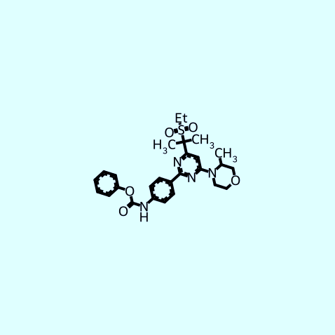 CCS(=O)(=O)C(C)(C)c1cc(N2CCOCC2C)nc(-c2ccc(NC(=O)Oc3ccccc3)cc2)n1